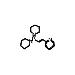 C(=CP(N1CCCCC1)N1CCCCC1)c1ccccn1